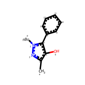 CCCCn1nc(C)c(O)c1-c1ccccc1